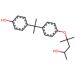 CC(O)CC(C)(C)Oc1ccc(C(C)(C)c2ccc(O)cc2)cc1